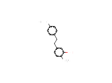 COc1ccc(CCc2ccc(C(=O)O)cc2)cc1O